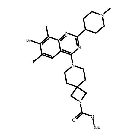 Cc1c(Br)c(I)cc2c(N3CCC4(CC3)CN(C(=O)OC(C)(C)C)C4)nc(C3CCN(C)CC3)nc12